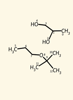 CC(O)CO.CCCOC(C)(C)C